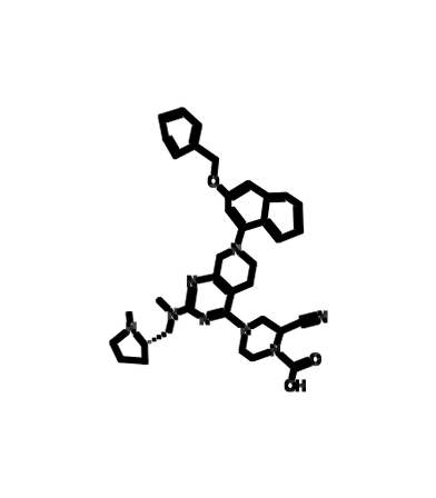 CN(C[C@@H]1CCCN1C)c1nc2c(c(N3CCN(C(=O)O)C(C#N)C3)n1)CCN(c1cc(OCc3ccccc3)cc3ccccc13)C2